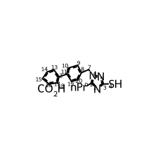 CCCc1nc(S)nn1Cc1ccc(-c2ccccc2C(=O)O)cc1